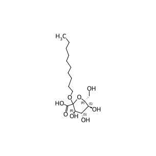 CCCCCCCCCCOC1(C(=O)O)O[C@H](CO)[C@@H](O)[C@H](O)[C@H]1O